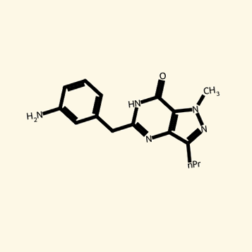 CCCc1nn(C)c2c(=O)[nH]c(Cc3cccc(N)c3)nc12